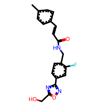 Cc1ccc(/C=C/C(=O)NCc2ccc(-c3noc(CO)n3)cc2F)cc1